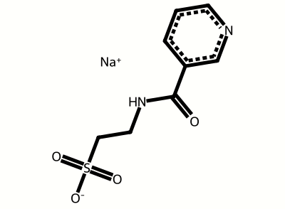 O=C(NCCS(=O)(=O)[O-])c1cccnc1.[Na+]